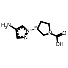 Nc1cnn([C@@H]2CCN(C(=O)O)C2)c1